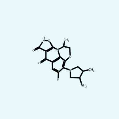 CC1CN(c2c(F)cc3c(=O)c4c(=O)[nH]oc4n4c3c2OCC4C)CC1N